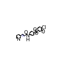 COc1cc(S(=O)(=O)c2ccc(NC(=O)/C=C/c3cccnc3)cc2)ccc1Cl